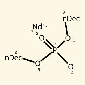 CCCCCCCCCCOP(=O)([O-])OCCCCCCCCCC.[Nd+]